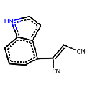 N#CC=C(C#N)c1cccc2[nH]ccc12